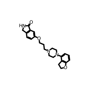 O=C1NCc2ccc(OCCCN3CCN(c4cccc5c4CCO5)CC3)cc21